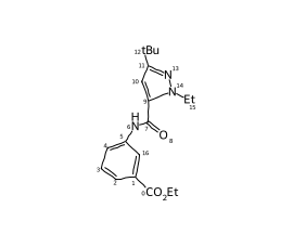 CCOC(=O)c1cccc(NC(=O)c2cc(C(C)(C)C)nn2CC)c1